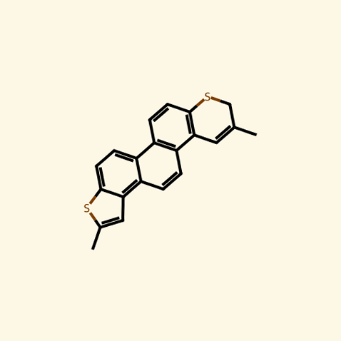 CC1=Cc2c(ccc3c2ccc2c4cc(C)sc4ccc32)SC1